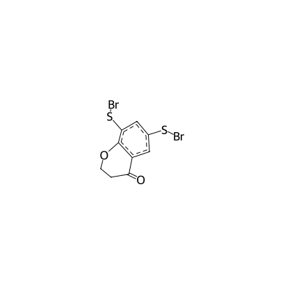 O=C1CCOc2c(SBr)cc(SBr)cc21